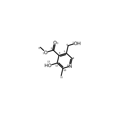 COC(=O)c1c(CO)cnc(C)c1O